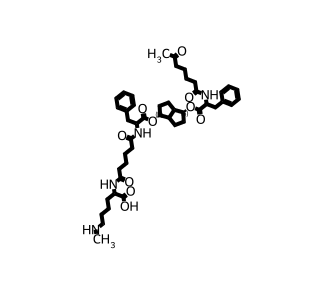 CNCCCCC(NC(=O)CCCCC(=O)NC(Cc1ccccc1)C(=O)O[C@@H]1CCC2C1CC[C@@H]2OC(=O)C(Cc1ccccc1)NC(=O)CCCCC(C)=O)C(=O)O